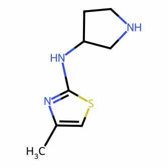 Cc1csc(NC2CCNC2)n1